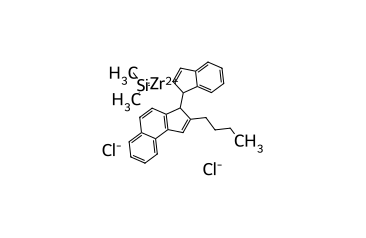 CCCCC1=Cc2c(ccc3ccccc23)C1C1[C]([Zr+2]=[Si](C)C)=Cc2ccccc21.[Cl-].[Cl-]